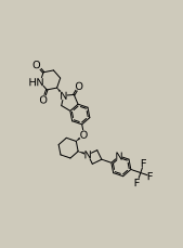 O=C1CC[C@@H](N2Cc3cc(O[C@@H]4CCCC[C@@H]4N4CC(c5ccc(C(F)(F)F)cn5)C4)ccc3C2=O)C(=O)N1